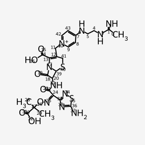 CC(=N)NCCNc1cc[n+](CC2=C(C(=O)O)N3C(=O)C(NC(=O)/C(=N\OC(C)(C)C(=O)O)c4nsc(N)n4)C3SC2)cc1